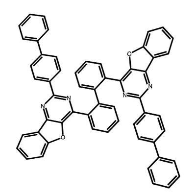 c1ccc(-c2ccc(-c3nc(-c4ccccc4-c4ccccc4-c4nc(-c5ccc(-c6ccccc6)cc5)nc5c4oc4ccccc45)c4oc5ccccc5c4n3)cc2)cc1